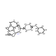 CCCCc1oc2ccccc2c1/C(C)=C\C(=O)N1CCN(Cc2ccccc2)CC1